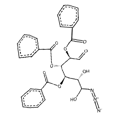 [N-]=[N+]=NC(O)[C@@H](O)[C@@H](OC(=O)c1ccccc1)[C@H](OC(=O)c1ccccc1)[C@H](C=O)OC(=O)c1ccccc1